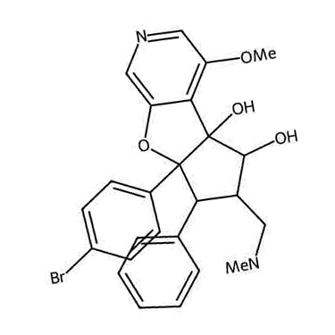 CNCC1C(O)C2(O)c3c(OC)cncc3OC2(c2ccc(Br)cc2)C1c1ccccc1